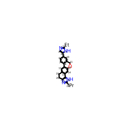 CCc1ncc(-c2ccc3c(c2)COc2cc4c(cc2-3)CCc2nc(C(C)C)[nH]c2-4)[nH]1